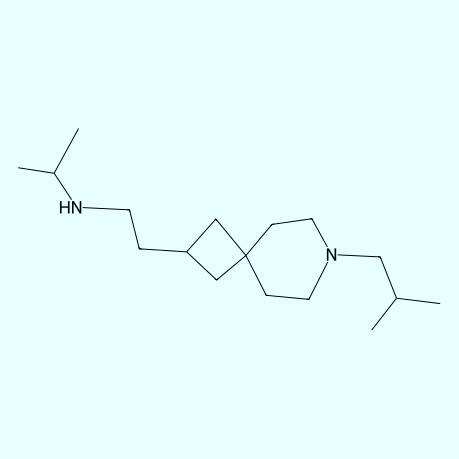 CC(C)CN1CCC2(CC1)CC(CCNC(C)C)C2